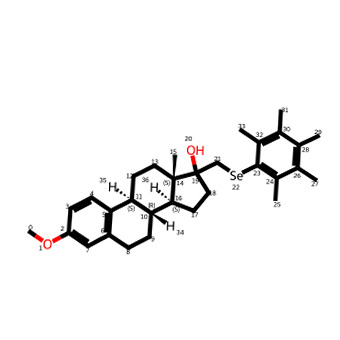 COc1ccc2c(c1)CC[C@@H]1[C@@H]2CC[C@@]2(C)[C@H]1CCC2(O)C[Se]c1c(C)c(C)c(C)c(C)c1C